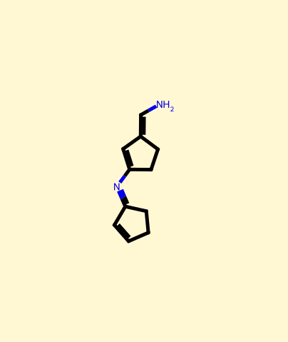 N/C=C1C=C(/N=C2/C=CCC2)CC/1